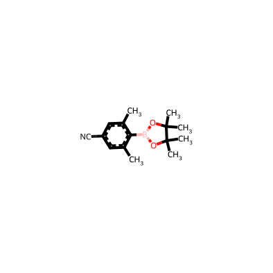 Cc1cc(C#N)cc(C)c1B1OC(C)(C)C(C)(C)O1